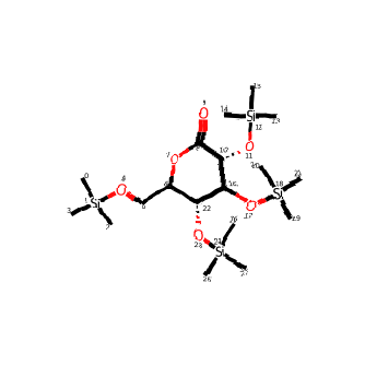 C[Si](C)(C)OCC1OC(=O)[C@H](O[Si](C)(C)C)C(O[Si](C)(C)C)[C@@H]1O[Si](C)(C)C